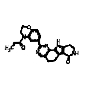 C=CC(=O)N1CCOc2ccc(-c3ncc4c(n3)-c3[nH]c5c(c3CC4)C(=O)NCC5)cc21